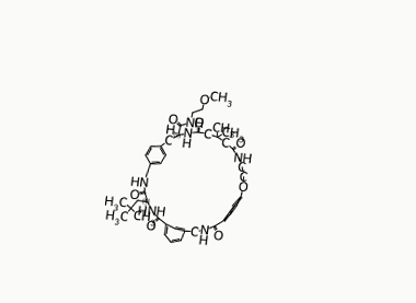 COCCNC(=O)[C@@H]1Cc2ccc(cc2)NC(=O)[C@H](CC(C)(C)C)NC(=O)c2cccc(c2)CNC(=O)c2ccc(cc2)OCCNC(=O)CC(C)(C)CC(=O)N1